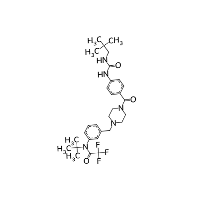 CC(C)(C)CNC(=O)Nc1ccc(C(=O)N2CCN(Cc3cccc(N(C(=O)C(F)(F)F)C(C)(C)C)c3)CC2)cc1